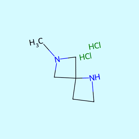 CN1CC2(CCN2)C1.Cl.Cl